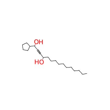 CCCCCCCCCCCC(O)C#CC(O)C1CCCC1